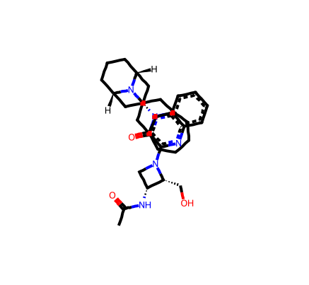 CC(=O)N[C@@H]1CN(c2nc3ccccc3n([C@H]3C[C@H]4CCC[C@@H](C3)N4C3CC4CCCCC(C4)C3)c2=O)[C@@H]1CO